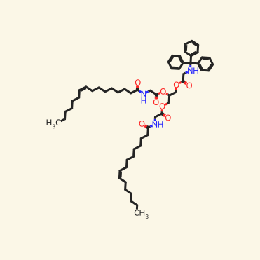 CCCCCC/C=C\CCCCCCCC(=O)NCC(=O)OCC(COC(=O)CNC(c1ccccc1)(c1ccccc1)c1ccccc1)OC(=O)CNC(=O)CCCCCCC/C=C\CCCCCC